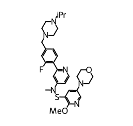 COc1ncc(N2CCOCC2)cc1SN(C)c1ccnc(-c2ccc(CN3CCN(C(C)C)CC3)cc2F)c1